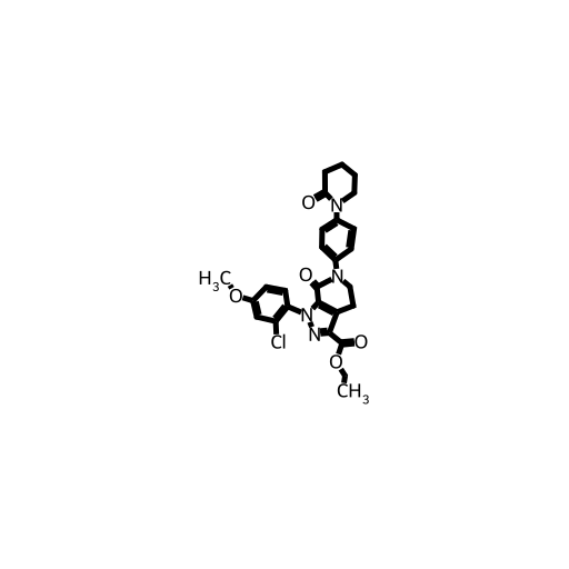 CCOC(=O)c1nn(-c2ccc(OC)cc2Cl)c2c1CCN(c1ccc(N3CCCCC3=O)cc1)C2=O